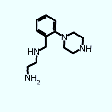 NCCNCc1ccccc1N1CCNCC1